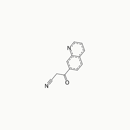 N#CCC(=O)c1ccc2cccnc2c1